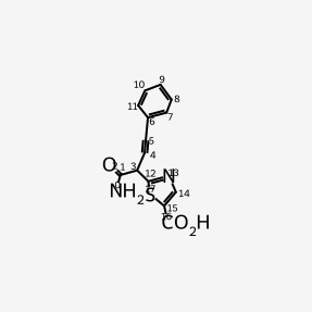 NC(=O)C(C#Cc1ccccc1)c1ncc(C(=O)O)s1